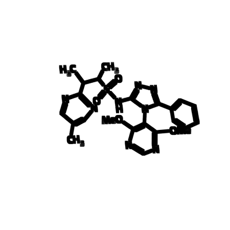 COc1ncnc(OC)c1-n1c(NS(=O)(=O)C(C)C(C)c2ncc(C)cn2)nnc1-c1ccccc1